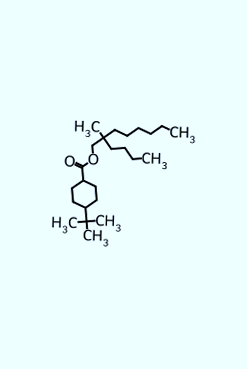 CCCCCCC(C)(CCCC)COC(=O)C1CCC(C(C)(C)C)CC1